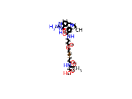 C#CCN(Cc1ccc2nc(N)[nH]c(=O)c2c1)c1ccc(C(=O)NCCCC(=O)OCCSSCCC(=O)N[C@@H](CC(=O)O)C(C)=O)cc1